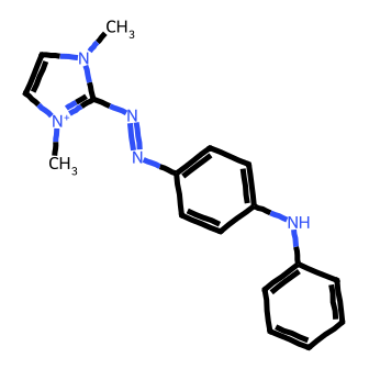 Cn1cc[n+](C)c1/N=N/c1ccc(Nc2ccccc2)cc1